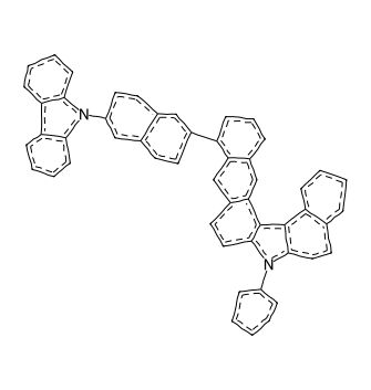 c1ccc(-n2c3ccc4ccccc4c3c3c4cc5cccc(-c6ccc7cc(-n8c9ccccc9c9ccccc98)ccc7c6)c5cc4ccc32)cc1